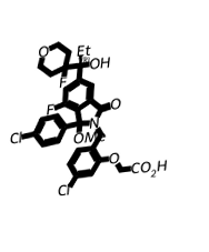 CC[C@@](O)(c1cc(F)c2c(c1)C(=O)N(Cc1ccc(Cl)cc1OCC(=O)O)C2(OC)c1ccc(Cl)cc1)C1(F)CCOCC1